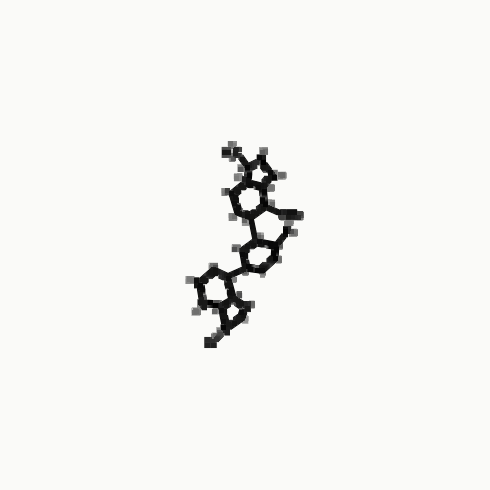 CCn1cnc2c(-c3ccc(F)c(-c4ccn5c(C)nnc5c4OC)c3)cnnc21